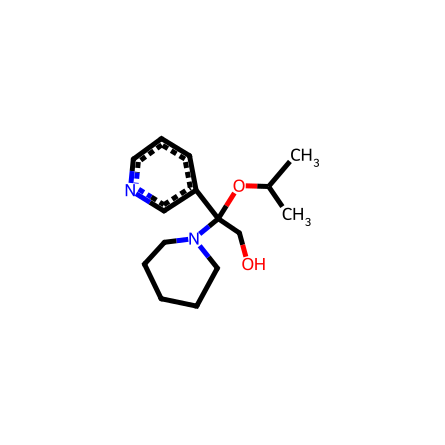 CC(C)OC(CO)(c1cccnc1)N1CCCCC1